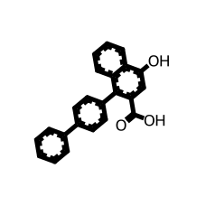 O=C(O)c1cc(O)c2ccccc2c1-c1ccc(-c2ccccc2)cc1